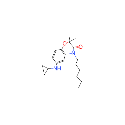 CCCCCCN1C(=O)C(C)(C)Oc2ccc(NC3CC3)cc21